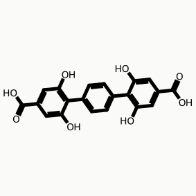 O=C(O)c1cc(O)c(-c2ccc(-c3c(O)cc(C(=O)O)cc3O)cc2)c(O)c1